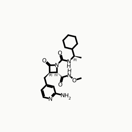 CONC(=O)[C@@H]1[C@@H](Cc2ccnc(N)c2)C(=O)N1C(=O)N[C@H](C)C1CCCCC1